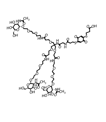 CC(=O)N[C@H]1[C@H](OCCOCCOCCNC(=O)CCOCC(COCCC(=O)NCCOCCOCCOC2O[C@H](CO)[C@H](O)[C@H](O)[C@H]2NC(C)=O)(COCCC(=O)NCCOCCOCCO[C@@H]2O[C@H](CO)[C@H](O)[C@H](O)[C@H]2NC(C)=O)NC(=O)CNC(=O)CCSC2=CC(=O)C(SCCC(=O)O)=CC2=O)O[C@H](CO)[C@H](O)[C@@H]1O